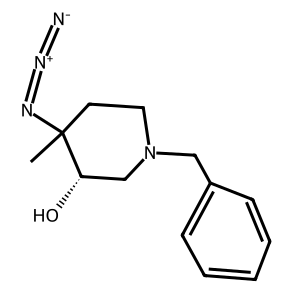 CC1(N=[N+]=[N-])CCN(Cc2ccccc2)C[C@@H]1O